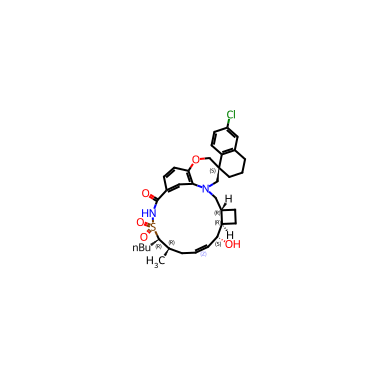 CCCC[C@@H]1[C@H](C)C/C=C\[C@@H](O)[C@@H]2CC[C@H]2CN2C[C@@]3(CCCc4cc(Cl)ccc43)COc3ccc(cc32)C(=O)NS1(=O)=O